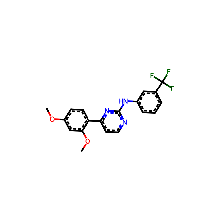 COc1ccc(-c2ccnc(Nc3cccc(C(F)(F)F)c3)n2)c(OC)c1